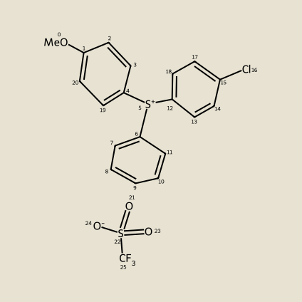 COc1ccc([S+](c2ccccc2)c2ccc(Cl)cc2)cc1.O=S(=O)([O-])C(F)(F)F